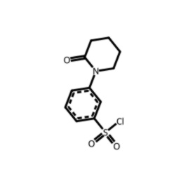 O=C1CCCCN1c1cccc(S(=O)(=O)Cl)c1